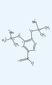 CC(C)(C)[Si](C)(C)Oc1ccc(C(=O)Cl)cc1O[Si](C)(C)C(C)(C)C